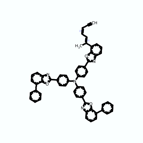 C#C/C=C\C=C(/C)c1cccc2nc(-c3ccc(N(c4ccc(-c5nc6cccc(-c7ccccc7)c6o5)cc4)c4ccc(-c5nc6cccc(-c7ccccc7)c6o5)cc4)cc3)oc12